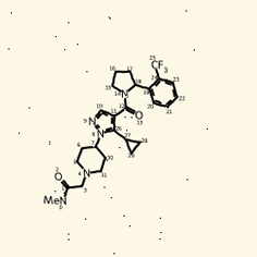 CNC(=O)CN1CCC(n2ncc(C(=O)N3CCCC3c3ccccc3C(F)(F)F)c2C2CC2)CC1